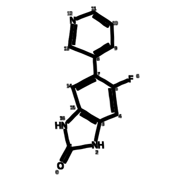 O=c1[nH]c2cc(F)c(-c3cccnc3)cc2[nH]1